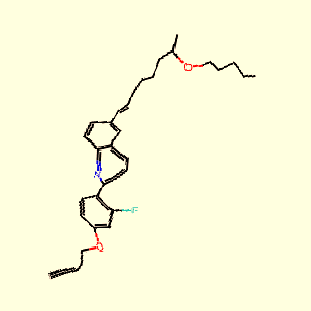 C=CCOc1ccc(-c2ccc3cc(C=CCCCC(C)OCCCCC)ccc3n2)c(F)c1